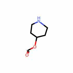 O=[C]OC1CCNCC1